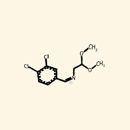 COC(C/N=C\c1ccc(Cl)c(Cl)c1)OC